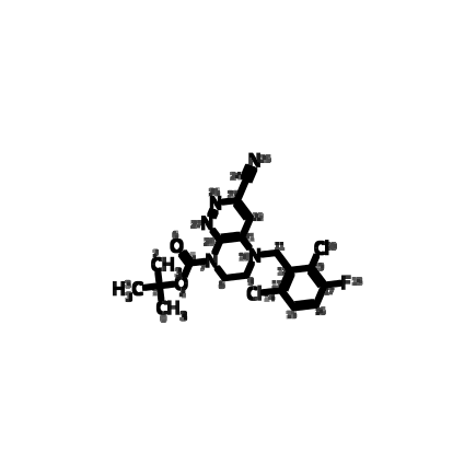 CC(C)(C)OC(=O)N1CCN(Cc2c(Cl)ccc(F)c2Cl)c2cc(C#N)nnc21